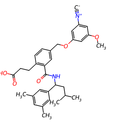 [C-]#[N+]c1cc(OC)cc(OCc2ccc(CCC(=O)O)c(C(=O)NC(CC(C)C)c3cc(C)cc(C)c3)c2)c1